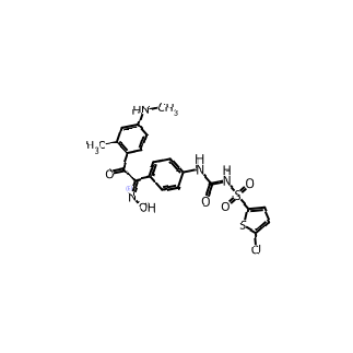 CNc1ccc(C(=O)/C(=N/O)c2ccc(NC(=O)NS(=O)(=O)c3ccc(Cl)s3)cc2)c(C)c1